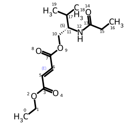 CCOC(=O)/C=C/C(=O)OC[C@@H](NC(=O)CC)C(C)C